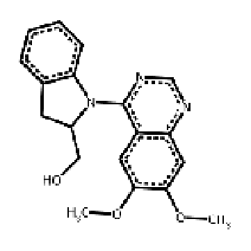 COc1cc2ncnc(N3c4ccccc4CC3CO)c2cc1OC